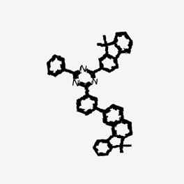 CC1(C)c2ccccc2-c2ccc(-c3nc(-c4ccccc4)nc(-c4cccc(-c5ccc6ccc7c(c6c5)-c5ccccc5C7(C)C)c4)n3)cc21